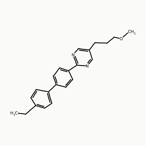 CCc1ccc(-c2ccc(-c3ncc(CCCOC)cn3)cc2)cc1